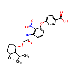 CC(C)C1C(C)CCCC1OCC(=O)Nc1cccc(Oc2ccc(C(=O)O)cc2)c1[N+](=O)[O-]